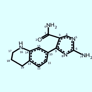 NC(=O)c1cnc(N)nc1-c1ccc2c(c1)NCCC2